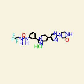 Cl.O=C1CN(c2ncc(-c3ccn4c(-c5cccc(NC(=O)NCC(F)(F)F)c5)cnc4c3)cn2)CCN1